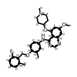 COc1cc(OC2CCN(C)CC2)c2c(Nc3ccc(OCc4c(F)cccc4F)c(C)c3)ncnc2c1